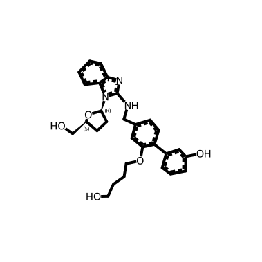 OCCCCOc1cc(CNc2nc3ccccc3n2[C@H]2CC[C@@H](CO)O2)ccc1-c1cccc(O)c1